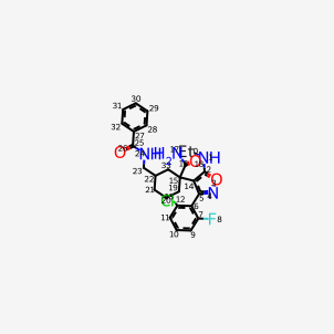 CCNc1onc(-c2c(F)cccc2Cl)c1C1(C(N)=O)CCCC(CNC(=O)c2ccccc2)C1